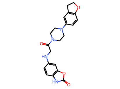 O=C(CNc1ccc2[nH]c(=O)oc2c1)N1CCN(c2ccc3c(c2)CCO3)CC1